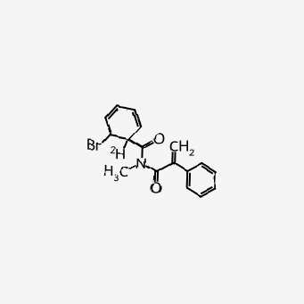 [2H]C1(C(=O)N(C)C(=O)C(=C)c2ccccc2)C=CC=CC1Br